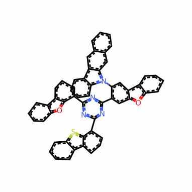 c1ccc2cc3c(cc2c1)c1ccccc1n3-c1cc2c(cc1-c1nc(-c3cccc4c3oc3ccccc34)nc(-c3cccc4c3sc3ccccc34)n1)oc1ccccc12